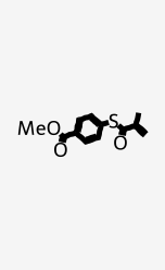 C=C(C)C(=O)Sc1ccc(C(=O)OC)cc1